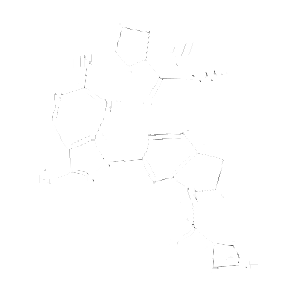 CNC(=O)[C@]1(C)CC[C@@H](Nc2ncc3c(Br)nn(-c4ccc5c(c4)N(C(=O)C4CNC4)CC5)c3n2)C1